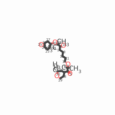 CC1CC(C(=O)C(C)(C)OCCCCCC(=O)C(C)(C)OC2CCC3OC3C2)CCO1